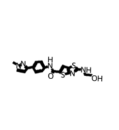 Cn1ccc(-c2ccc(NC(=O)c3cc4sc(NCCO)nc4s3)cc2)n1